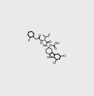 CCC(C)[C@H](NC(=O)Cc1ccccc1F)C(=O)N[C@@]1(OC(=O)O)CCc2[nH]c3c(Cl)cc(Cl)cc3c2C1